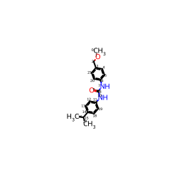 COCc1ccc(NC(=O)Nc2ccc(C(C)C)cc2)cc1